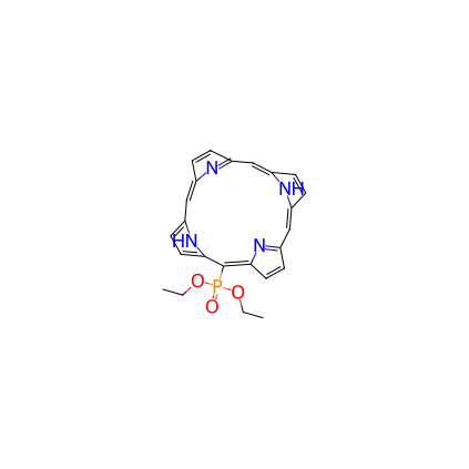 CCOP(=O)(OCC)c1c2nc(cc3ccc(cc4nc(cc5ccc1[nH]5)C=C4)[nH]3)C=C2